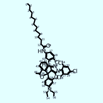 CCCCCCCCCCCCCC(=O)Nc1ccc(Cl)c(Nc2nn(-c3c(Cl)cc(Cl)cc3Cl)c3c2C(C)(c2ccccc2C(C)=O)c2ccc(N(CC)CC)cc2O3)c1